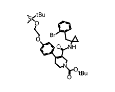 CC(C)(C)OC(=O)N1CCC(c2ccc(OCCO[Si](C)(C)C(C)(C)C)cc2)=C(C(=O)NC2(Cc3ccccc3Br)CC2)C1